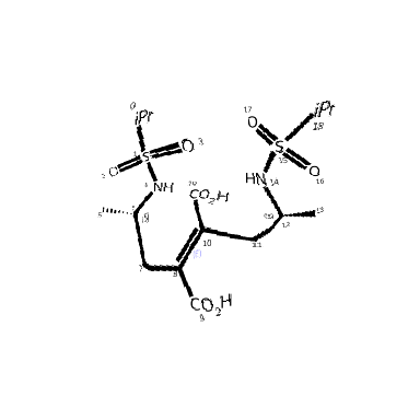 CC(C)S(=O)(=O)N[C@@H](C)C/C(C(=O)O)=C(/C[C@H](C)NS(=O)(=O)C(C)C)C(=O)O